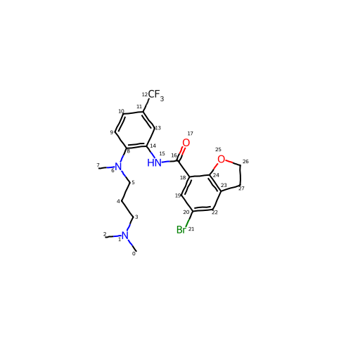 CN(C)CCCN(C)c1ccc(C(F)(F)F)cc1NC(=O)c1cc(Br)cc2c1OCC2